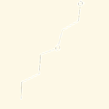 CCCCOCC[O]